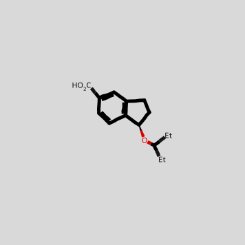 CCC(CC)O[C@@H]1CCc2cc(C(=O)O)ccc21